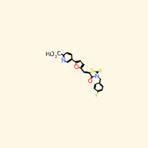 O=C(O)c1ccc(-c2ccc(/C=C3\SC(=S)N(Cc4ccc(F)cc4)C3=O)o2)cn1